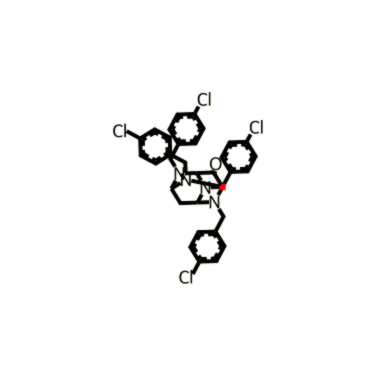 O=C1C2N(Cc3ccc(Cl)cc3)C3CC(N2Cc2ccc(Cl)cc2)N(Cc2ccc(Cl)cc2)C1N3Cc1ccc(Cl)cc1